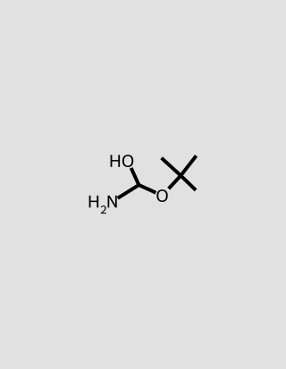 CC(C)(C)OC(N)O